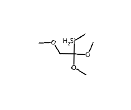 COCC(OC)(OC)[SiH2]C